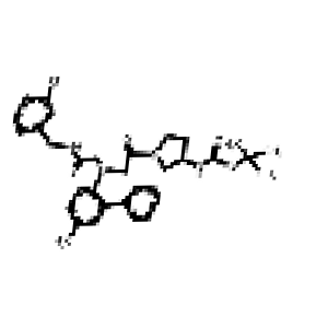 Cc1ccc(N(CC(=O)NCc2cccc(Cl)c2)CC(=O)N2CCC(NC(=O)OC(C)(C)C)C2)c(-c2ccccc2)c1